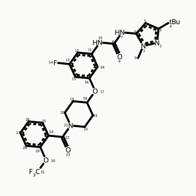 Cn1nc(C(C)(C)C)cc1NC(=O)Nc1cc(F)cc(OC2CCN(C(=O)c3ccccc3OC(F)(F)F)CC2)c1